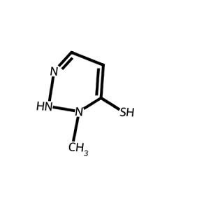 CN1NN=CC=C1S